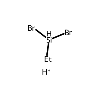 CC[SiH](Br)Br.[H+]